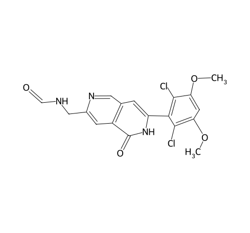 COc1cc(OC)c(Cl)c(-c2cc3cnc(CNC=O)cc3c(=O)[nH]2)c1Cl